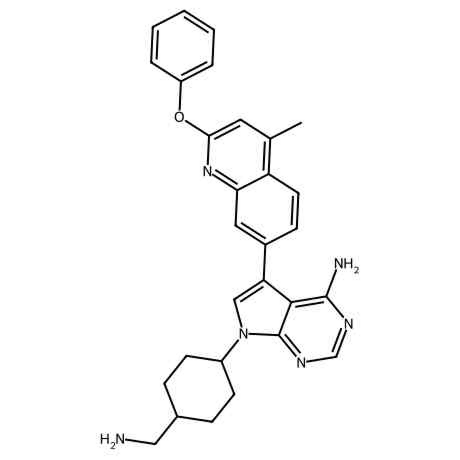 Cc1cc(Oc2ccccc2)nc2cc(-c3cn(C4CCC(CN)CC4)c4ncnc(N)c34)ccc12